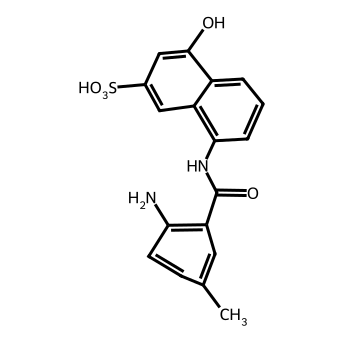 Cc1ccc(N)c(C(=O)Nc2cccc3c(O)cc(S(=O)(=O)O)cc23)c1